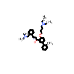 CCN(CC)CCCCOc1ccc(-c2ccccc2C)cc1C(=O)/C=C/c1ccccc1CN(C)C